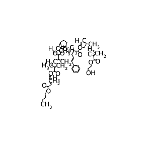 C=C(C)C(=O)OC.C=C(C)C(=O)OC1CC2CCC1(C)C2(C)C.C=C(C)C(=O)OCCO.C=C(CC=Cc1ccccc1)C(=O)OCC(C)C.C=CC(=O)OCCCC